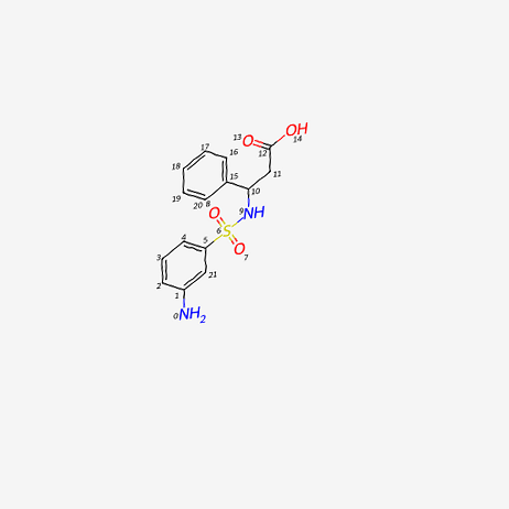 Nc1cccc(S(=O)(=O)NC(CC(=O)O)c2ccccc2)c1